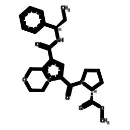 CC[C@@H](NC(=O)c1cc(C(=O)N2CCC[C@@H]2C(=O)OC)n2c1COCC2)c1ccccc1